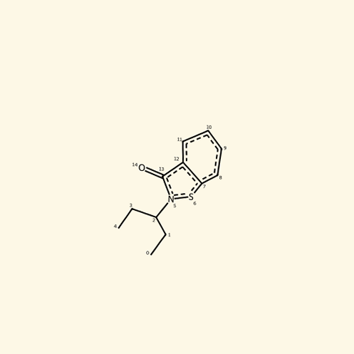 CCC(CC)n1sc2ccccc2c1=O